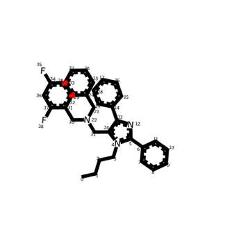 CCCCn1c(-c2ccccc2)nc(-c2ccccc2)c1CN(Cc1ccccc1)Cc1ccc(F)cc1F